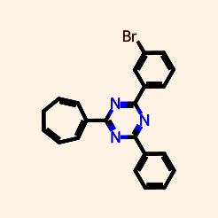 Brc1cccc(-c2nc(C3=CC=CCC=C3)nc(-c3ccccc3)n2)c1